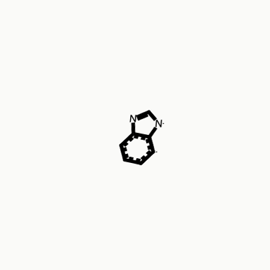 [c]1cccc2c1[N]C=N2